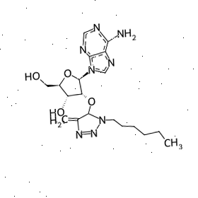 C=C1N=NN(CCCCCC)C1O[C@@H]1[C@H](O)[C@@H](CO)O[C@H]1n1cnc2c(N)ncnc21